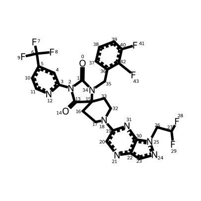 O=C1N(c2cc(C(F)(F)F)ccn2)C(=O)C2(CCN(c3cnc4cnn(CC(F)F)c4n3)CC2)N1Cc1cccc(F)c1F